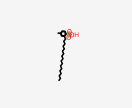 CCCCCCCCCCCCCCCCCCc1cc(C)ccc1S(=O)(=O)O